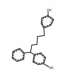 Oc1ccc(CCCCC(c2ccccc2)c2ccc(O)cc2)cc1